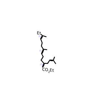 CCOC(=O)/C=C(\CC=C(C)C)CC/C=C(\C)CC/C=C(\C)CC